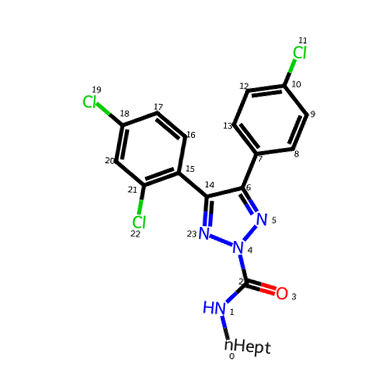 CCCCCCCNC(=O)n1nc(-c2ccc(Cl)cc2)c(-c2ccc(Cl)cc2Cl)n1